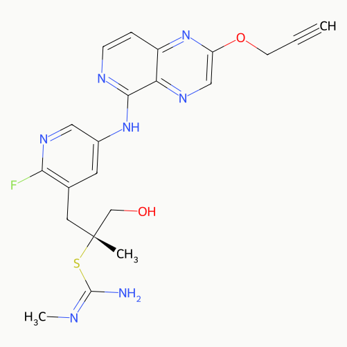 C#CCOc1cnc2c(Nc3cnc(F)c(C[C@](C)(CO)S/C(N)=N\C)c3)nccc2n1